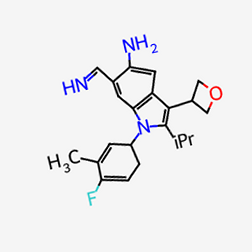 CC1=CC(n2c(C(C)C)c(C3COC3)c3cc(N)c(C=N)cc32)CC=C1F